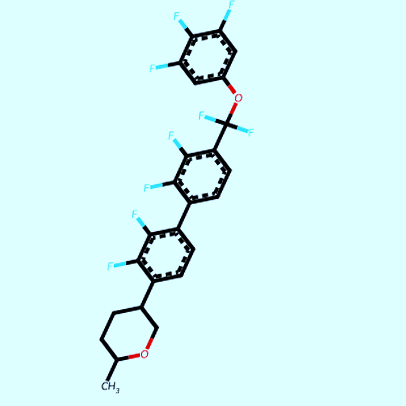 CC1CCC(c2ccc(-c3ccc(C(F)(F)Oc4cc(F)c(F)c(F)c4)c(F)c3F)c(F)c2F)CO1